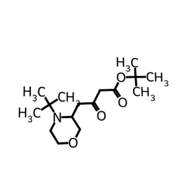 CC(C)(C)OC(=O)CC(=O)CC1COCCN1C(C)(C)C